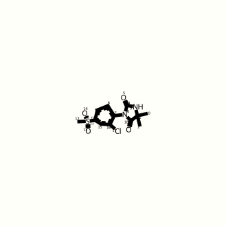 CC1(C)NC(=O)N(c2ccc(S(C)(=O)=O)cc2Cl)C1=O